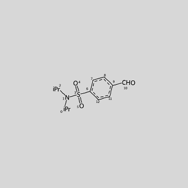 CC(C)N(C(C)C)S(=O)(=O)c1ccc(C=O)cc1